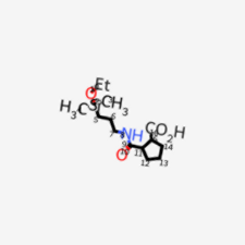 CCO[Si](C)(C)CCCNC(=O)C1CCCC1C(=O)O